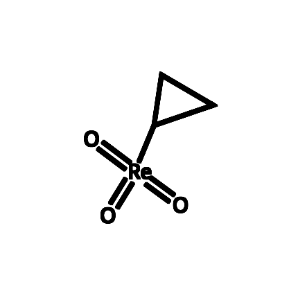 [O]=[Re](=[O])(=[O])[CH]1CC1